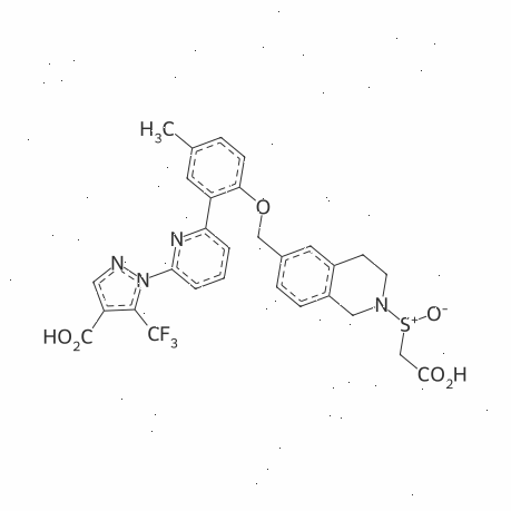 Cc1ccc(OCc2ccc3c(c2)CCN([S+]([O-])CC(=O)O)C3)c(-c2cccc(-n3ncc(C(=O)O)c3C(F)(F)F)n2)c1